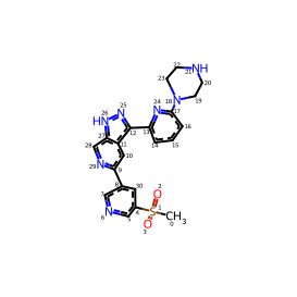 CS(=O)(=O)c1cncc(-c2cc3c(-c4cccc(N5CCNCC5)n4)n[nH]c3cn2)c1